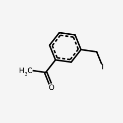 CC(=O)c1cccc(CI)c1